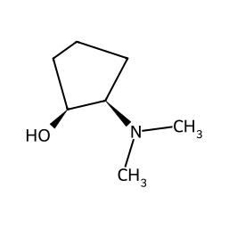 CN(C)[C@@H]1CCC[C@@H]1O